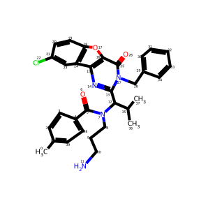 Cc1ccc(C(=O)N(CCCN)C(c2nc3c(oc4ccc(Cl)cc43)c(=O)n2Cc2ccccc2)C(C)C)cc1